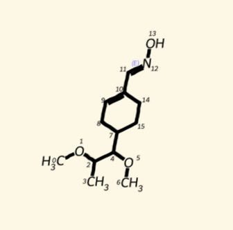 COC(C)C(OC)C1CC=C(/C=N/O)CC1